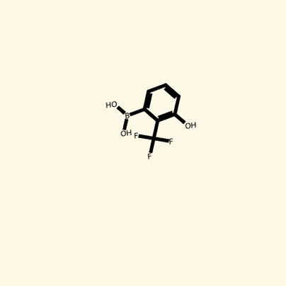 OB(O)c1cccc(O)c1C(F)(F)F